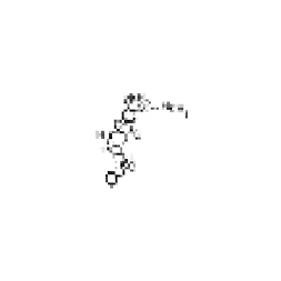 COCCCOc1cc(C(=O)N(C[C@H]2CNC[C@@H]2NS(=O)(=O)Cc2ccccc2)C(C)C)ccc1OC